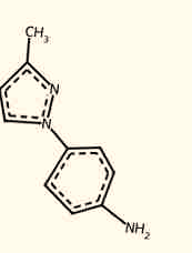 Cc1ccn(-c2ccc(N)cc2)n1